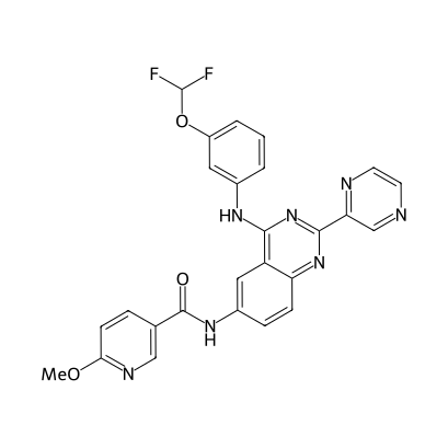 COc1ccc(C(=O)Nc2ccc3nc(-c4cnccn4)nc(Nc4cccc(OC(F)F)c4)c3c2)cn1